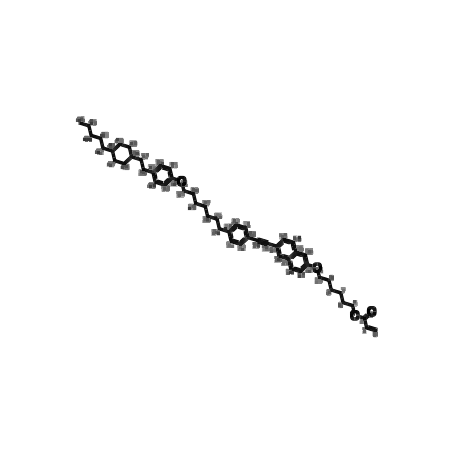 C=CC(=O)OCCCCCCOc1ccc2cc(C#Cc3ccc(CCCCCCCOc4ccc(CCC5CCC(CCCCC)CC5)cc4)cc3)ccc2c1